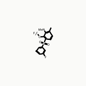 CNc1c(C)ccc(S(=O)(=O)c2cccc(F)c2)c1OC(F)(F)F